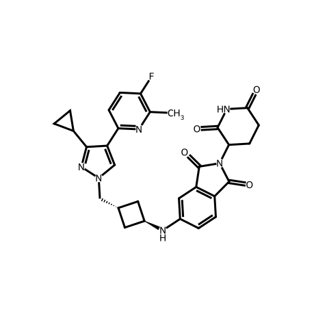 Cc1nc(-c2cn(C[C@H]3C[C@H](Nc4ccc5c(c4)C(=O)N(C4CCC(=O)NC4=O)C5=O)C3)nc2C2CC2)ccc1F